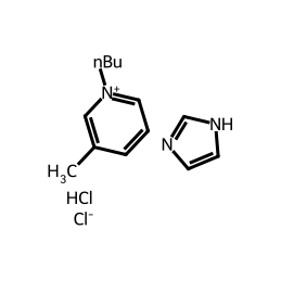 CCCC[n+]1cccc(C)c1.Cl.[Cl-].c1c[nH]cn1